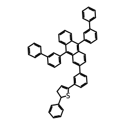 C1=C(c2cccc(-c3ccc4c(-c5cccc(-c6ccccc6)c5)c5ccccc5c(-c5cccc(-c6ccccc6)c5)c4c3)c2)SC(c2ccccc2)C1